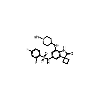 CCCN1CCC(Nc2cc(NS(=O)(=O)c3ccc(F)cc3F)cc3c2NC(=O)C32CCC2)CC1